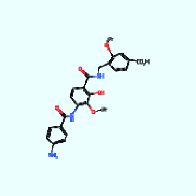 CC(C)Oc1cc(C(=O)O)ccc1CNC(=O)c1ccc(NC(=O)c2ccc(N)cc2)c(OC(C)C)c1O